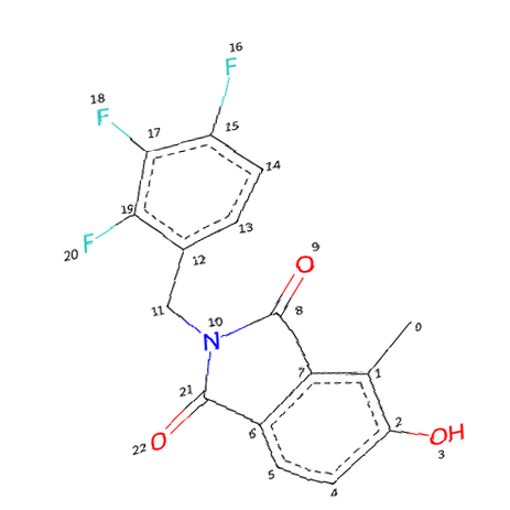 Cc1c(O)ccc2c1C(=O)N(Cc1ccc(F)c(F)c1F)C2=O